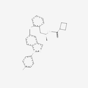 C[C@@H](Cc1ccccc1Oc1ccc2c(cnn2-c2ccc(F)cc2)c1)NC(=O)C1CCC1